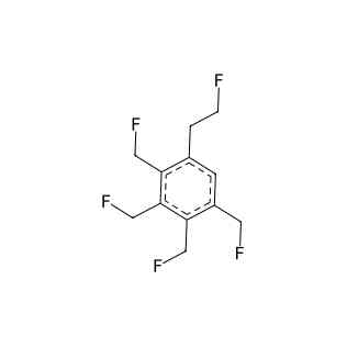 FCCc1cc(CF)c(CF)c(CF)c1CF